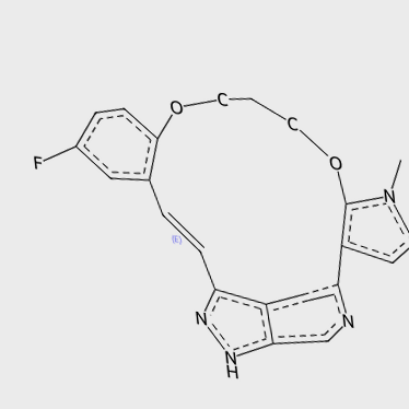 Cn1ncc2c1OCCCOc1ccc(F)cc1/C=C/c1n[nH]c3cnc-2cc13